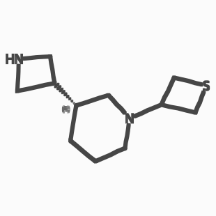 C1C[C@H](C2CNC2)CN(C2CSC2)C1